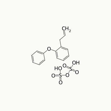 C=CCc1ccccc1Oc1ccccc1.O=S(=O)(O)OS(=O)(=O)O